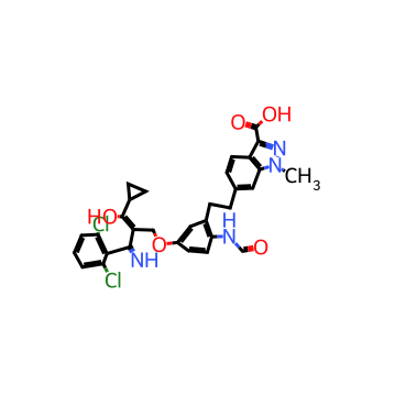 Cn1nc(C(=O)O)c2ccc(CCc3cc(OC/C(C(=N)c4c(Cl)cccc4Cl)=C(/O)C4CC4)ccc3NC=O)cc21